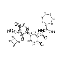 O=C(NC(O)C1CCCCCC1)c1cc(-n2ncc(=O)n(C(O)C3CCC3)c2=O)ccc1Cl